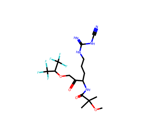 COC(C)(C)C(=O)NC(CCCNC(=N)NC#N)C(=O)COC(C(F)(F)F)C(F)(F)F